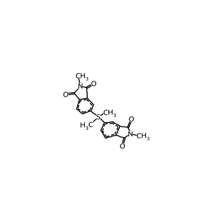 CN1C(=O)c2ccc(S(C)(C)c3ccc4c(c3)C(=O)N(C)C4=O)cc2C1=O